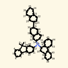 CC1(C)c2ccccc2-c2ccc(N(c3ccc4cc(-c5ccc6ccccc6c5)ccc4c3)c3cc4ccccc4c4ccccc34)cc21